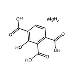 O=C(O)c1ccc(C(=O)O)c(C(=O)O)c1O.[MgH2]